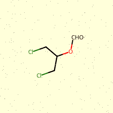 O=[C]OC(CCl)CCl